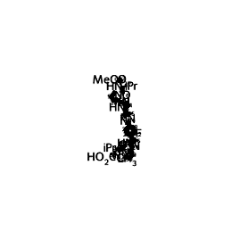 COC(=O)N[C@H](C(=O)N1CCC[C@H]1c1ncc(-c2cnc(-c3ccc(-c4cnc([C@@H]5CCCN5C(=O)[C@H](C(C)C)N(C)C(=O)O)[nH]4)c(F)c3)nc2)[nH]1)C(C)C